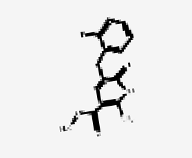 COC(=O)c1cc(Cc2ccccc2F)c(=O)[nH]c1C